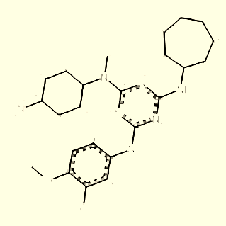 COc1ccc(Nc2nc(NC3CCCCCC3)nc(N(C)C3CCC(N)CC3)n2)cc1Cl